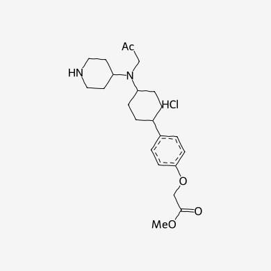 COC(=O)COc1ccc(C2CCC(N(CC(C)=O)C3CCNCC3)CC2)cc1.Cl